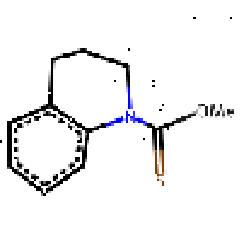 COC(=S)N1CCCc2ccccc21